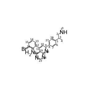 CNCC(C)c1ccc(-c2cc(-c3cccc(Br)c3)c3c(N)ncnc3n2)cc1